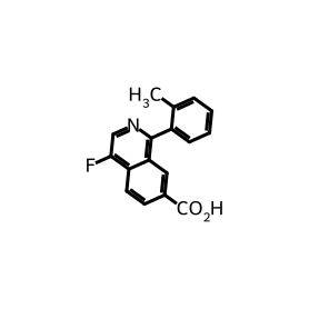 Cc1ccccc1-c1ncc(F)c2ccc(C(=O)O)cc12